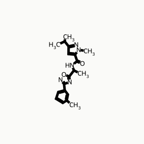 Cc1cccc(-c2noc(C(C)NC(=O)c3cc(C(C)C)nn3C)n2)c1